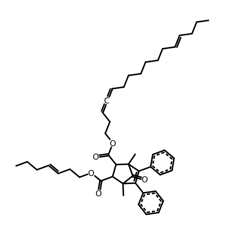 CCC/C=C/CCCCCCC=C=CCCOC(=O)C1C(C(=O)OCC/C=C/CCC)C2(C)C(=O)C1(C)C(c1ccccc1)=C2c1ccccc1